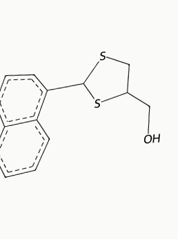 OCC1CSC(c2cccc3ccccc23)S1